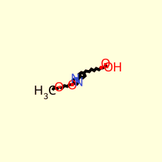 CCCOCCCCOc1cnc(-c2ccc(CCCCCC/C=C/C(=O)O)cc2)nc1